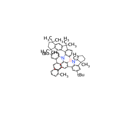 Cc1ccccc1-c1cc2c3c(c1)N(c1ccc(C(C)(C)C)cc1-c1ccccc1)c1c(ccc4c1-c1cc5c(cc1C4(C)C)C(C)(C)CCC5(C)C)B3N1c3c-2cc(C(C)(C)C)cc3C2(C)CCCCC12C